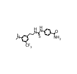 CN(C)c1cc(CCNC(=S)Nc2ccc(C(N)=O)cc2)cc(C(F)(F)F)c1